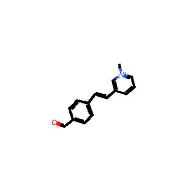 C[n+]1cccc(C=Cc2ccc(C=O)cc2)c1